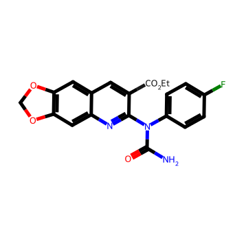 CCOC(=O)c1cc2cc3c(cc2nc1N(C(N)=O)c1ccc(F)cc1)OCO3